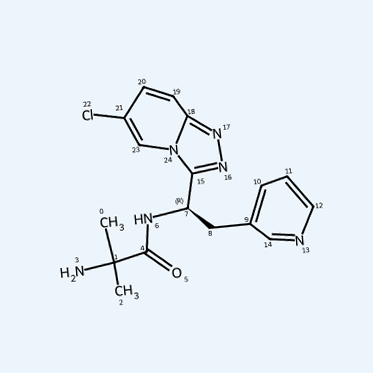 CC(C)(N)C(=O)N[C@H](Cc1cccnc1)c1nnc2ccc(Cl)cn12